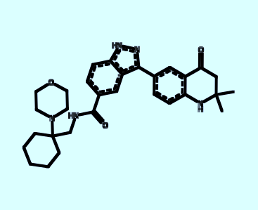 CC1(C)CC(=O)c2cc(-c3n[nH]c4ccc(C(=O)NCC5(N6CCOCC6)CCCCC5)cc34)ccc2N1